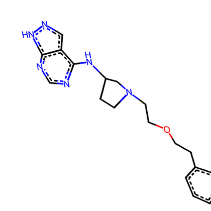 c1ccc(CCOCCN2CCC(Nc3ncnc4[nH]ncc34)C2)cc1